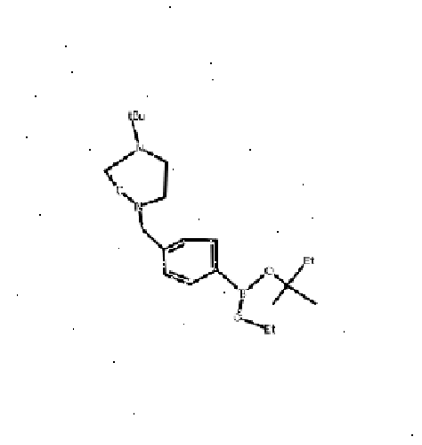 CCOB(OC(C)(C)CC)c1ccc(CN2CCN(C(C)(C)C)CC2)cc1